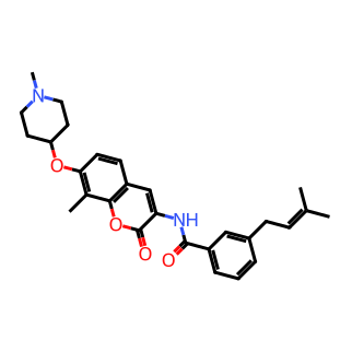 CC(C)=CCc1cccc(C(=O)Nc2cc3ccc(OC4CCN(C)CC4)c(C)c3oc2=O)c1